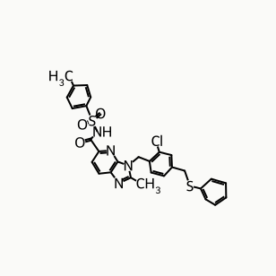 Cc1ccc(S(=O)(=O)NC(=O)c2ccc3nc(C)n(Cc4ccc(CSc5ccccc5)cc4Cl)c3n2)cc1